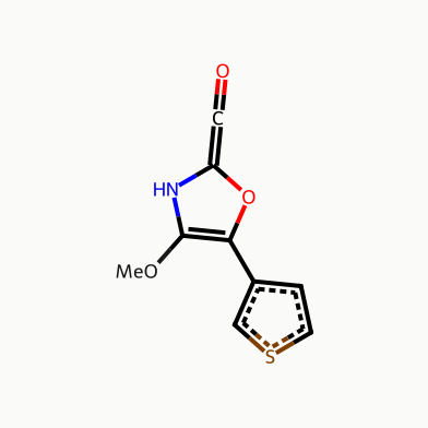 COC1=C(c2ccsc2)OC(=C=O)N1